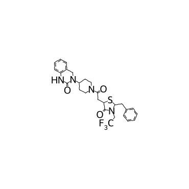 O=C(CC1SC(Cc2ccccc2)N(CC(F)(F)F)C1=O)N1CCC(N2Cc3ccccc3NC2=O)CC1